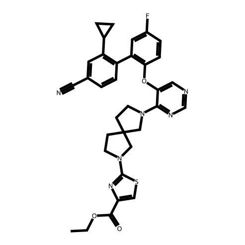 CCOC(=O)c1csc(N2CCC3(CCN(c4ncncc4Oc4ccc(F)cc4-c4ccc(C#N)cc4C4CC4)C3)C2)n1